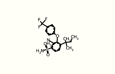 CCC(C)(C)c1ccc(S(N)(=O)=O)c(N)c1Oc1ccc(C(F)(F)F)cc1